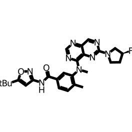 Cc1ccc(C(=O)Nc2cc(C(C)(C)C)on2)cc1N(C)c1ncnc2cnc(N3CC[C@H](F)C3)nc12